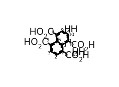 O=C(O)c1ccc(C(=O)O)c2c(C(=O)O)ccc(C(=O)O)c12.[HH].[HH]